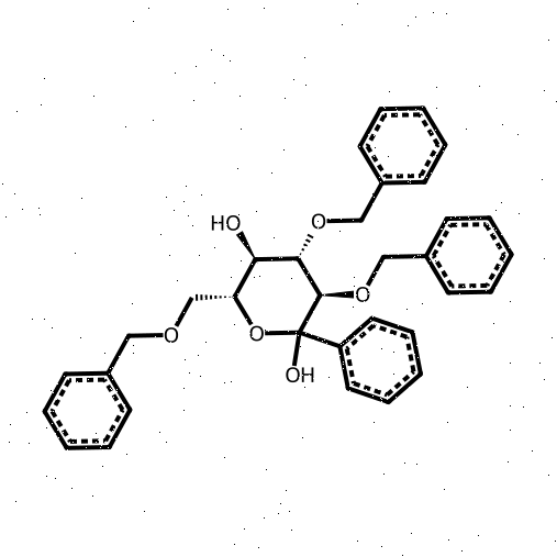 O[C@H]1[C@H](OCc2ccccc2)[C@@H](OCc2ccccc2)C(O)(c2ccccc2)O[C@@H]1COCc1ccccc1